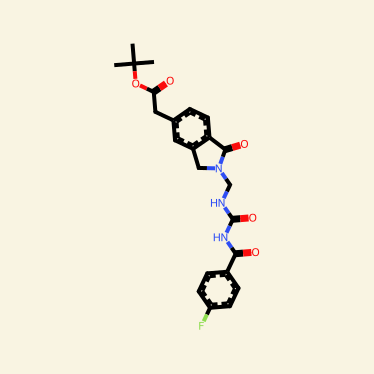 CC(C)(C)OC(=O)Cc1ccc2c(c1)CN(CNC(=O)NC(=O)c1ccc(F)cc1)C2=O